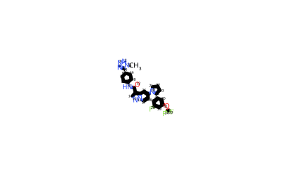 Cn1nnnc1[C@H]1CC[C@H](NC(=O)c2cnn3ccc(N4CCC[C@@H]4c4cc(F)cc(OC(F)F)c4)cc23)CC1